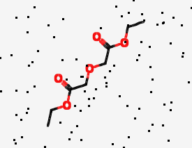 CCOC(=O)COCC(=O)OCC